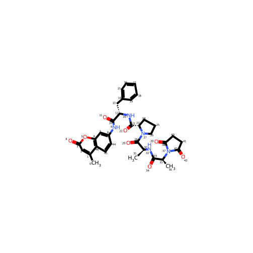 Cc1cc(=O)oc2cc(NC(=O)[C@H](Cc3ccccc3)NC(=O)[C@@H]3CCCN3C(=O)[C@H](C)NC(=O)[C@H](C)N3C(=O)CCC3=O)ccc12